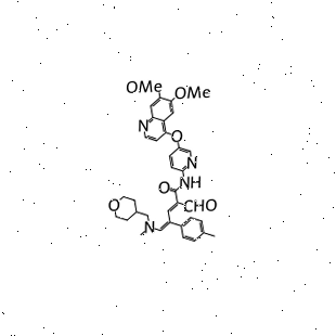 COc1cc2nccc(Oc3ccc(NC(=O)/C(C=O)=C/C(=C\N(C)CC4CCOCC4)c4ccc(C)cc4)nc3)c2cc1OC